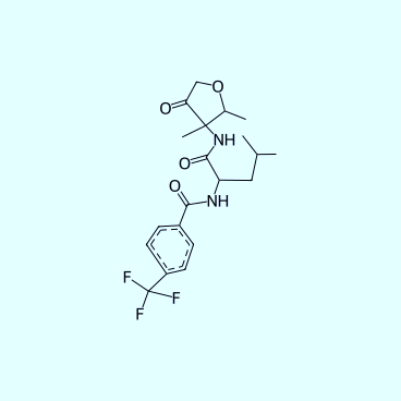 CC(C)CC(NC(=O)c1ccc(C(F)(F)F)cc1)C(=O)NC1(C)C(=O)COC1C